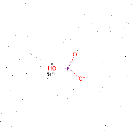 [O-]P([O-])O.[Sr+2]